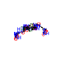 CN(C(=O)[C@@H]1NC2(CCCCC2)[C@@]2(C(=O)Nc3cc(Cl)ccc32)[C@H]1c1ccc(C2CCC3(CC2)N[C@@H](C(=O)Nc2ccc(C(=O)NCCCNc4ccn5c(N6CCC(=O)NC6=O)cnc5c4)cc2)[C@H](c2cccc(Cl)c2F)[C@]32C(=O)Nc3cc(Cl)ccc32)c(Cl)c1F)c1ccc(C(=O)NCCCCCc2ccc3c(c2)n(C)c(=O)n3C2CCC(=O)NC2=O)cc1